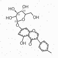 Cc1ccc(-c2coc3cc(O[C@@H]4OC(CO)[C@@H](O)[C@H](O)C4O)cc(O)c3c2=O)cc1